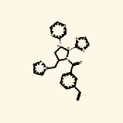 C=Cc1cccc(C(=O)N2C(Cn3cccn3)C[C@H](c3cnccn3)[C@@H]2c2nccs2)c1